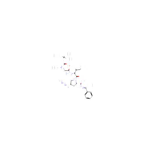 CC[C@H](C)[C@H](NC(=O)CN(C)C(=O)OC(C)(C)C)C(=O)N1C[C@@H](N=[N+]=[N-])C[C@H]1C(=O)N[C@H](C)c1ccccc1